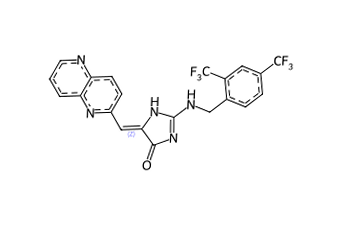 O=C1N=C(NCc2ccc(C(F)(F)F)cc2C(F)(F)F)N/C1=C\c1ccc2ncccc2n1